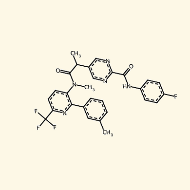 Cc1cccc(-c2nc(C(F)(F)F)ccc2N(C)C(=O)C(C)c2cnc(C(=O)Nc3ccc(F)cc3)nc2)c1